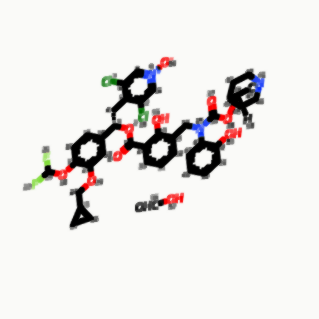 O=C(O[C@@H](Cc1c(Cl)c[n+]([O-])cc1Cl)c1ccc(OC(F)F)c(OCC2CC2)c1)c1cccc(CN(C(=O)O[C@H]2CN3CCC2CC3)c2ccccc2O)c1O.O=CO